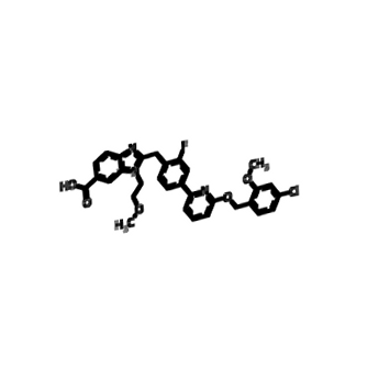 COCCn1c(Cc2ccc(-c3cccc(OCc4ccc(Cl)cc4OC)n3)cc2F)nc2ccc(C(=O)O)cc21